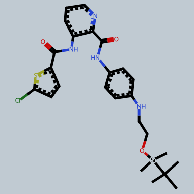 CC(C)(C)[Si](C)(C)OCCNc1ccc(NC(=O)c2ncccc2NC(=O)c2ccc(Cl)s2)cc1